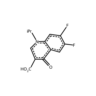 CC(C)n1cc(C(=O)O)c(=O)c2cc(F)c(F)cc21